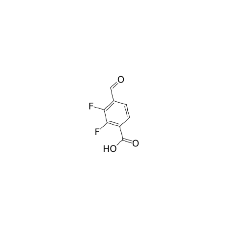 O=Cc1ccc(C(=O)O)c(F)c1F